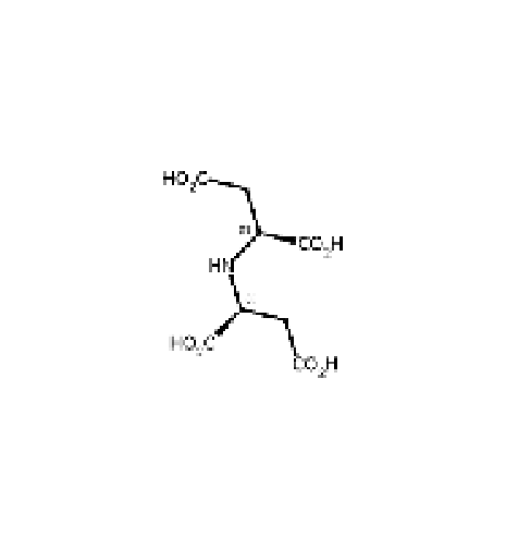 O=C(O)C[C@H](N[C@@H](CC(=O)O)C(=O)O)C(=O)O